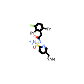 CNCc1ccc(S(N)(=O)=NC(=O)Cc2c(C(C)C)ccc(F)c2C(C)C)nc1